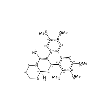 COc1ccc(C2=C(C#N)N3CCCC[C@@H]3C[C@@H]2c2ccc(OC)c(OC)c2OC)cc1OC